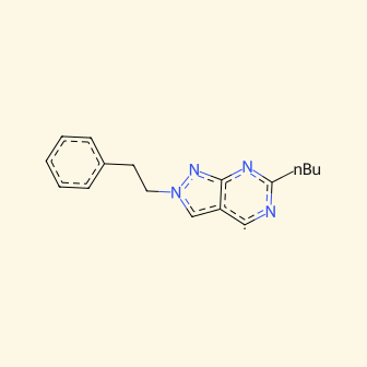 CCCCc1n[c]c2cn(CCc3ccccc3)nc2n1